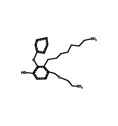 CCCCCCCCc1c(CCCCC)ccc(O)c1Oc1ccccc1